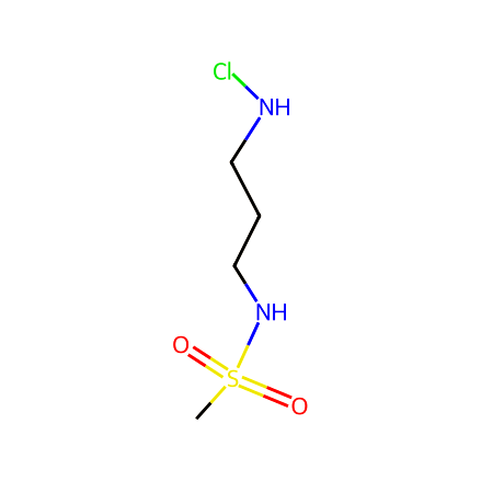 CS(=O)(=O)NCCCNCl